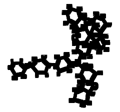 c1ccc(-c2ccc(-c3ccc(N(c4ccc5c(c4)Oc4c(oc6ccccc46)C54c5ccccc5-c5ccccc54)c4ccc5oc6ccccc6c5c4)cc3)cc2)cc1